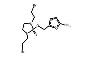 O=[N+]([O-])c1ccc(COP2(=O)N(CCBr)CCN2CCBr)o1